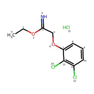 CCOC(=N)COc1cccc(Cl)c1Cl.Cl